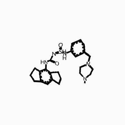 CN1CCN(Cc2cccc(N/[SH](=O)=N\C(=O)Nc3c4c(cc5c3CCC5)CCC4)c2)CC1